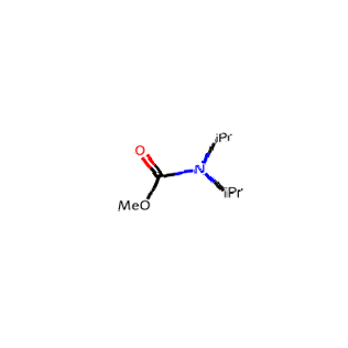 COC(=O)N(C(C)C)C(C)C